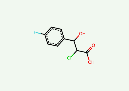 O=C(O)C(Cl)C(O)c1ccc(F)cc1